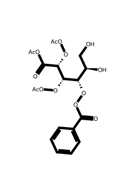 CC(=O)OO[C@@H]([C@@H](OOC(=O)c1ccccc1)[C@H](O)CO)[C@@H](OOC(C)=O)C(=O)OC(C)=O